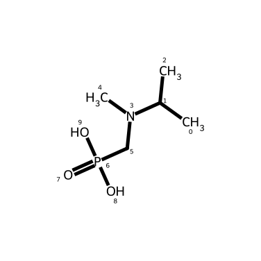 CC(C)N(C)CP(=O)(O)O